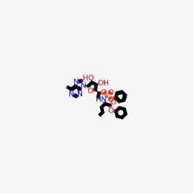 CCCC(NP(=O)(Oc1ccccc1)OC(C)[C@H]1O[C@@H](n2cnc3c(C)ncnc32)[C@H](O)[C@@H]1O)C(=O)OC1CCCCC1